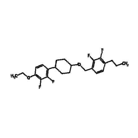 CCCc1ccc(COC2CCC(c3ccc(OCC)c(F)c3F)CC2)c(F)c1F